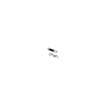 C.S.[S]=[Cu]